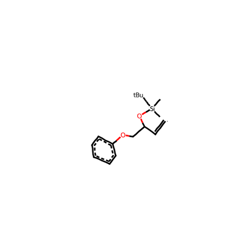 [CH]=CC(COc1ccccc1)O[Si](C)(C)C(C)(C)C